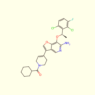 C[C@@H](Oc1c(N)ncc2c(C3=CCN(C(=O)C4CCCCC4)CC3)coc12)c1c(Cl)ccc(F)c1Cl